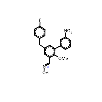 COc1c(/C=N/O)cc(Cc2ccc(F)cc2)cc1-c1cccc([N+](=O)[O-])c1